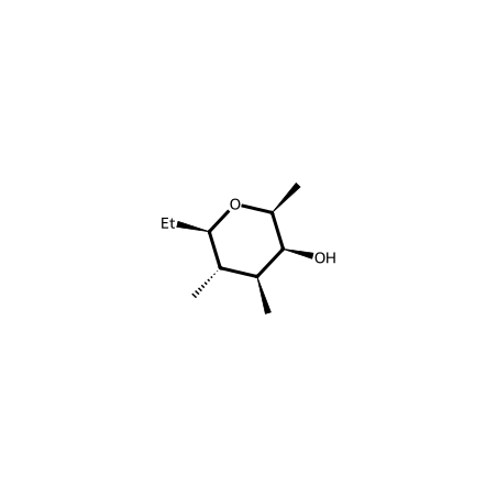 CC[C@H]1O[C@@H](C)[C@@H](O)[C@@H](C)[C@@H]1C